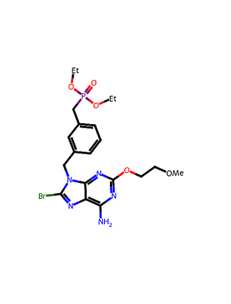 CCOP(=O)(Cc1cccc(Cn2c(Br)nc3c(N)nc(OCCOC)nc32)c1)OCC